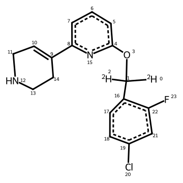 [2H]C([2H])(Oc1cccc(C2=CCNCC2)n1)c1ccc(Cl)cc1F